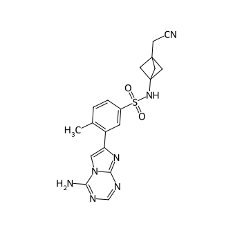 Cc1ccc(S(=O)(=O)NC23CC(CC#N)(C2)C3)cc1-c1cn2c(N)ncnc2n1